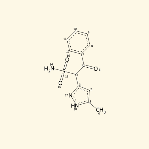 Cc1cc(C(C(=O)c2ccccc2)S(N)(=O)=O)n[nH]1